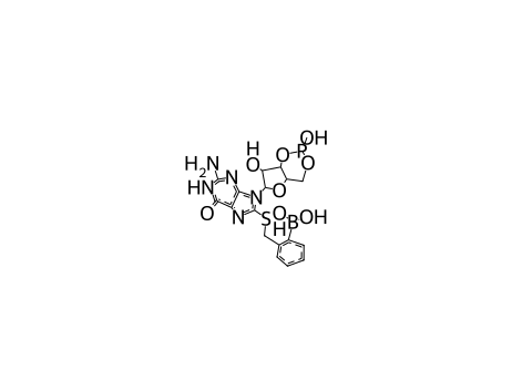 Nc1nc2c(nc(SCc3ccccc3B(O)O)n2C2OC3COP(O)OC3C2O)c(=O)[nH]1